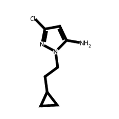 Nc1cc(Cl)nn1CCC1CC1